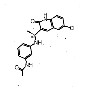 CC(=O)Nc1cccc(N[C@@H](C)c2cc3cc(Cl)ccc3[nH]c2=O)c1